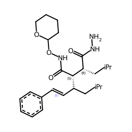 CC(C)CC(/C=C/c1ccccc1)[C@H](C(=O)NOC1CCCCO1)[C@@H](CC(C)C)C(=O)NN